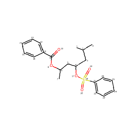 CC(C)CC(CC(C)OC(=O)c1ccccc1)OS(=O)(=O)c1ccccc1